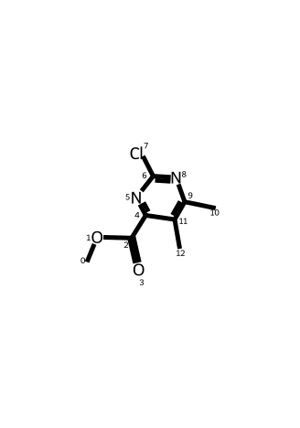 COC(=O)c1nc(Cl)nc(C)c1C